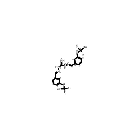 N=C(N/N=C/c1cccc(OC(F)(F)F)c1)N/N=C/c1cccc(OC(F)(F)F)c1